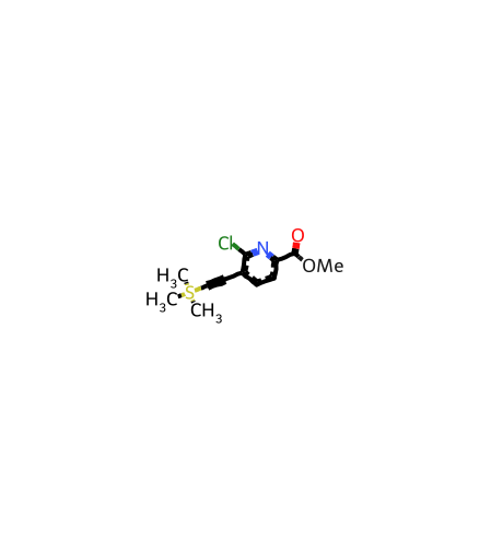 COC(=O)c1ccc(C#CS(C)(C)C)c(Cl)n1